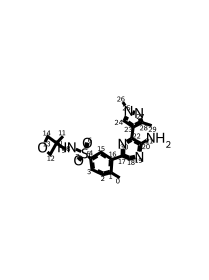 Cc1ccc(S(=O)(=O)NCC2(C)COC2)cc1-c1cnc(N)c(-c2cn(C)nc2C)n1